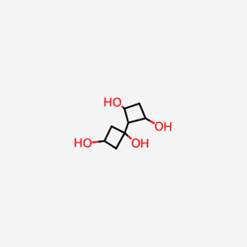 OC1CC(O)(C2C(O)CC2O)C1